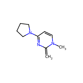 C=C1N=C(N2CCCC2)C=CN1C